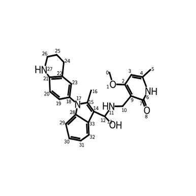 COc1cc(C)[nH]c(=O)c1CNC(O)c1c(C)n(-c2ccc3c(c2)CCCN3)c2ccccc12